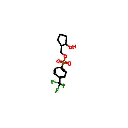 O=S(=O)(OCC1CCCC1O)c1ccc(C(F)(F)F)cc1